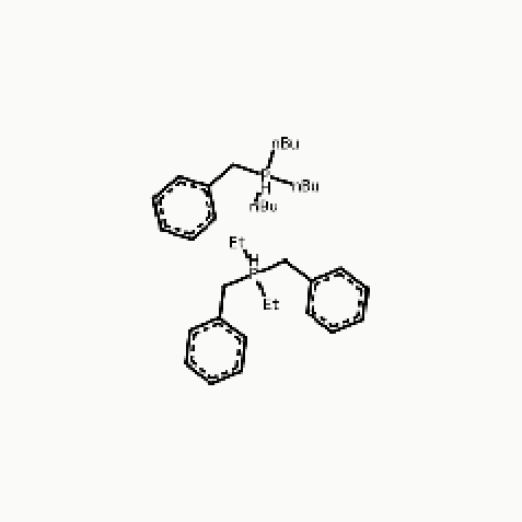 CCCC[PH](CCCC)(CCCC)Cc1ccccc1.CC[PH](CC)(Cc1ccccc1)Cc1ccccc1